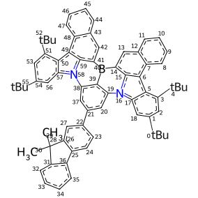 CC(C)(C)c1cc(C(C)(C)C)c2c3c4ccccc4cc4c3n(c2c1)-c1cc(-c2ccc3c(c2)C(C)(C)c2ccccc2-3)cc2c1B4c1cc3ccccc3c3c4c(C(C)(C)C)cc(C(C)(C)C)cc4n-2c13